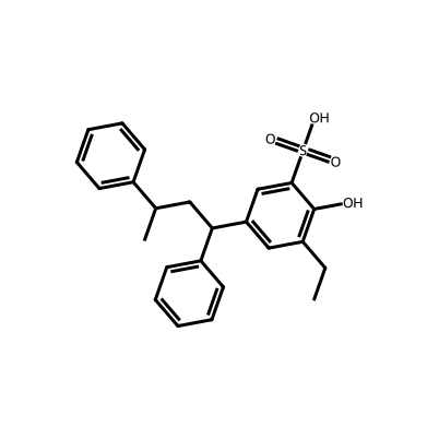 CCc1cc(C(CC(C)c2ccccc2)c2ccccc2)cc(S(=O)(=O)O)c1O